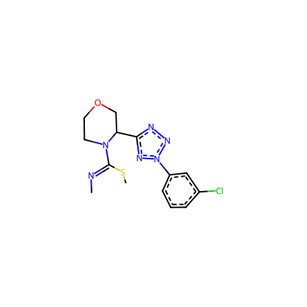 CN=C(SC)N1CCOCC1c1nnn(-c2cccc(Cl)c2)n1